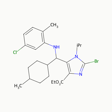 CCOC(=O)c1nc(Br)n(C(C)C)c1C(Nc1cc(Cl)ccc1C)C1CCC(C)CC1